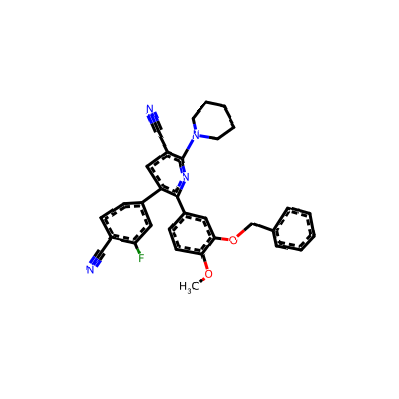 COc1ccc(-c2nc(N3CCCCC3)c(C#N)cc2-c2ccc(C#N)c(F)c2)cc1OCc1ccccc1